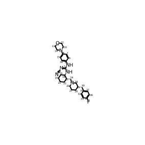 N#CN=C(Nc1ccc(N2CCOCC2)cc1)N[C@@H]1CCCC[C@H]1CN1CCC[C@@H](Cc2ccc(F)cc2)C1